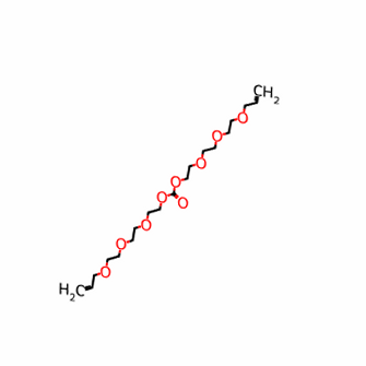 C=CCOCCOCCOCCOC(=O)OCCOCCOCCOCC=C